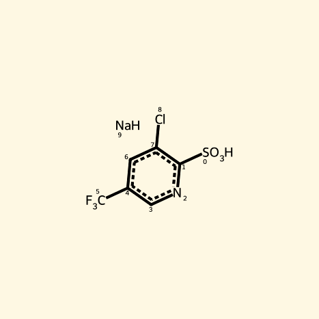 O=S(=O)(O)c1ncc(C(F)(F)F)cc1Cl.[NaH]